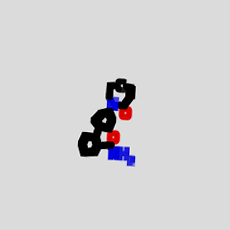 NC(=O)c1ccccc1-c1ccc(N2CCCC#CC2=O)cc1